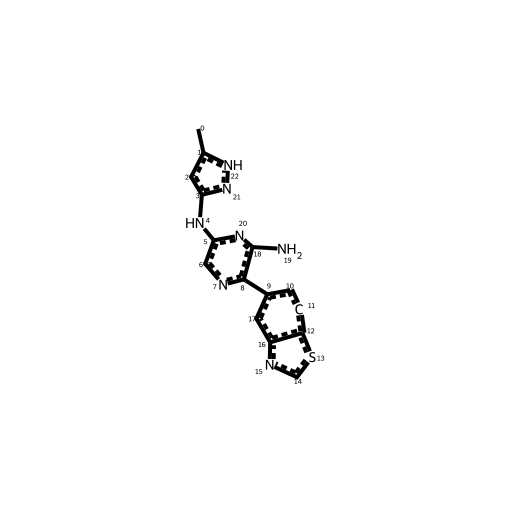 Cc1cc(Nc2cnc(-c3ccc4scnc4c3)c(N)n2)n[nH]1